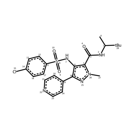 CC(NC(=O)c1c(NS(=O)(=O)c2ccc(Cl)cc2)c(-c2ccncc2)nn1C)C(C)(C)C